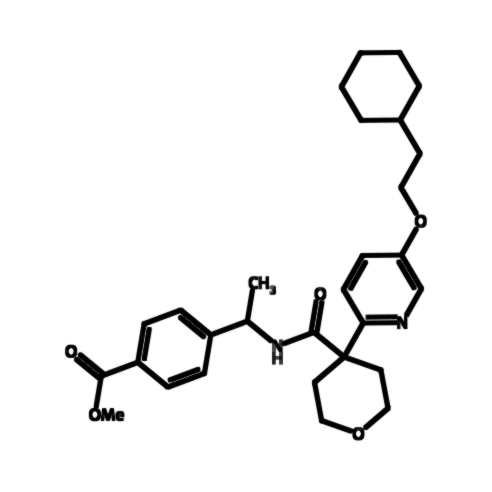 COC(=O)c1ccc(C(C)NC(=O)C2(c3ccc(OCCC4CCCCC4)cn3)CCOCC2)cc1